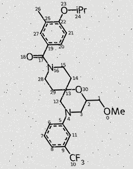 COCC1CN(c2cccc(C(F)(F)F)c2)CC2(CCN(C(=O)c3ccc(OC(C)C)c(C)c3)CC2)O1